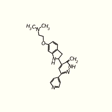 C=C1NN=C(c2ccncc2)C=C1C1Cc2ccc(OCCN(C)C)cc2N1